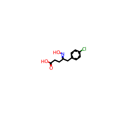 O=C(O)CCC(Cc1ccc(Cl)cc1)=NO